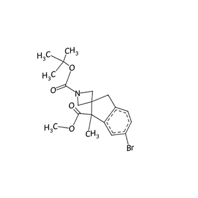 COC(=O)C1(C)c2cc(Br)ccc2CC12CN(C(=O)OC(C)(C)C)C2